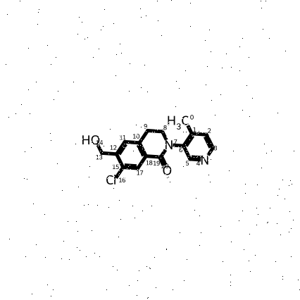 Cc1ccncc1N1CCc2cc(CO)c(Cl)cc2C1=O